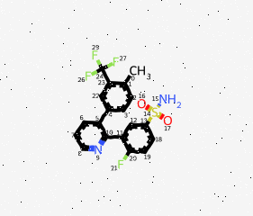 Cc1ccc(-c2cccnc2-c2cc(S(N)(=O)=O)ccc2F)cc1C(F)(F)F